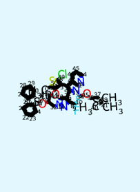 Cc1cc(-c2c(-c3c(C(F)F)nn4c3OCC(O[Si](c3ccccc3)(c3ccccc3)C(C)(C)C)C4)n(COCC[Si](C)(C)C)c3ncccc23)c(Cl)s1